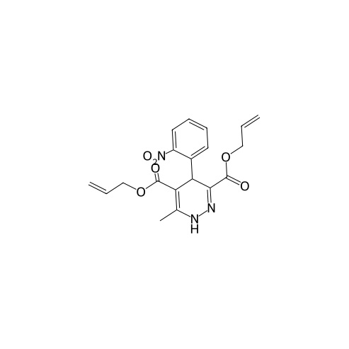 C=CCOC(=O)C1=NNC(C)=C(C(=O)OCC=C)C1c1ccccc1[N+](=O)[O-]